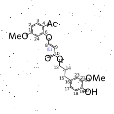 COc1ccc(C(C)=O)c(O/C=C/C(=O)OCCCc2ccc(O)c(OC)c2)c1